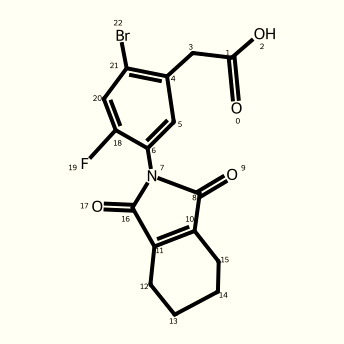 O=C(O)Cc1cc(N2C(=O)C3=C(CCCC3)C2=O)c(F)cc1Br